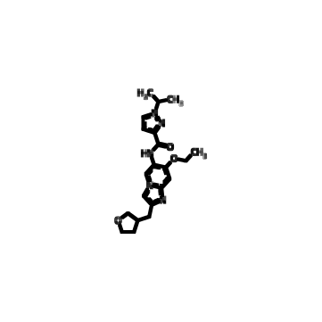 CCOc1cc2nc(CC3CCOC3)cn2cc1NC(=O)c1ccn(C(C)C)n1